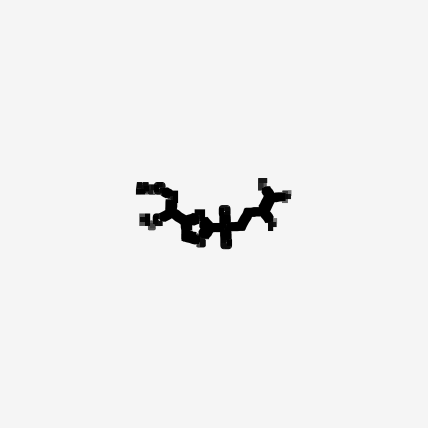 CO/N=C(\C)c1csc(S(=O)(=O)CCC(F)=C(F)F)n1